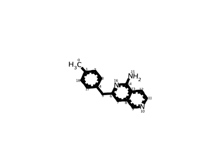 Cc1ccc(Cc2cc3cnccc3c(N)n2)cc1